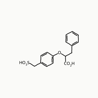 O=C(O)C(Cc1ccccc1)Oc1ccc(CS(=O)(=O)O)cc1